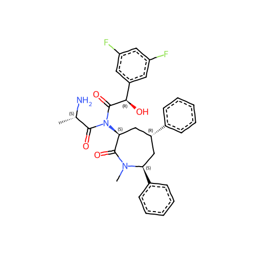 C[C@H](N)C(=O)N(C(=O)[C@H](O)c1cc(F)cc(F)c1)[C@H]1C[C@H](c2ccccc2)C[C@@H](c2ccccc2)N(C)C1=O